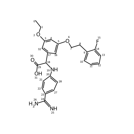 CCOc1cc(OCCc2ccccc2F)cc(C(Nc2ccc(C(=N)N)cc2)C(=O)O)c1